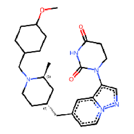 COC1CCC(CN2CC[C@@H](Cc3ccn4ncc(N5CCC(=O)NC5=O)c4c3)C[C@@H]2C)CC1